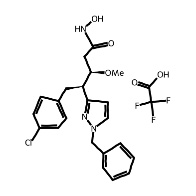 CO[C@H](CC(=O)NO)[C@H](Cc1ccc(Cl)cc1)c1ccn(Cc2ccccc2)n1.O=C(O)C(F)(F)F